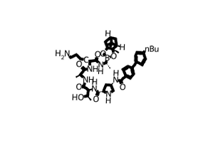 CCCCc1ccc(-c2ccc(C(=O)N[C@@H]3CN[C@H](C(=O)N[C@H](C(=O)N[C@@H](C)C(=O)N[C@@H](CCCCN)C(=O)N[C@@H](C)B4OC5C[C@@H]6C[C@@H](C6(C)C)[C@]5(C)O4)[C@@H](C)O)C3)cc2)cc1